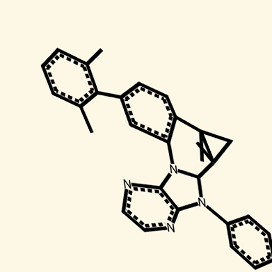 Cc1cccc(C)c1-c1ccc2c(c1)N1c3nccnc3N(c3ccccc3)C1C1(C)CC21C